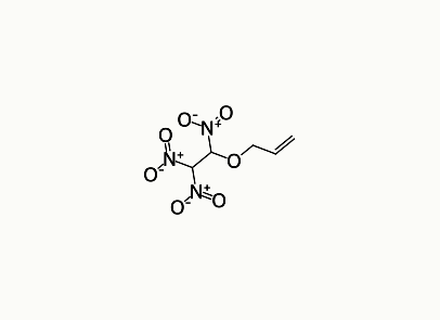 C=CCOC(C([N+](=O)[O-])[N+](=O)[O-])[N+](=O)[O-]